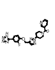 O=C(c1cccnc1)N1CCC(n2ncc(COc3ccc(-c4nnn[nH]4)cc3F)n2)CC1